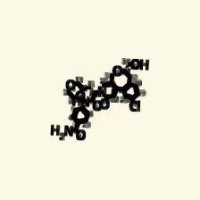 NC(=O)c1ccc(NC(=O)[C@H](C[C@@H]2COCCO2)n2cc3c(cc2=O)-c2cc(Cl)ccc2C[C@@H](CO)OC3)cc1